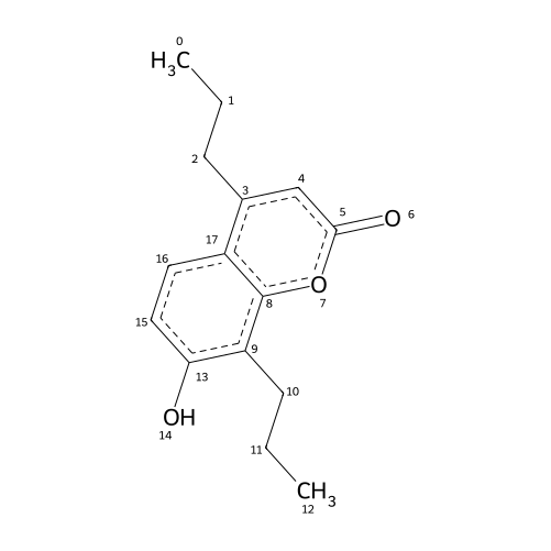 CCCc1cc(=O)oc2c(CCC)c(O)ccc12